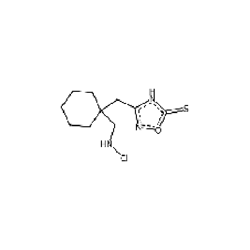 S=c1[nH]c(CC2(CNCl)CCCCC2)no1